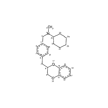 CN(Cc1ccc(CC2COc3ccccc3O2)cc1)C1CCCCC1